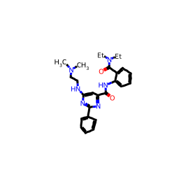 CCN(CC)C(=O)c1ccccc1NC(=O)c1cc(NCCN(C)C)nc(-c2ccccc2)n1